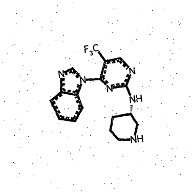 FC(F)(F)c1cnc(N[C@H]2CCCNC2)nc1-n1cnc2ccccc21